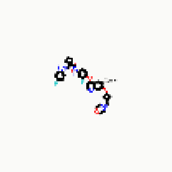 COc1cc2c(Oc3ccc(NC(=O)C4(C(=O)Nc5ccc(F)cc5)CCC4)cc3F)ccnc2cc1OC1CC(CN2CCOCC2)C1